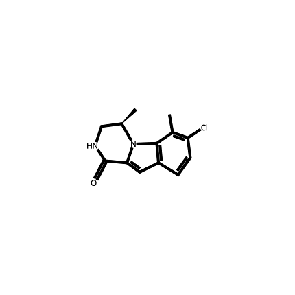 Cc1c(Cl)ccc2cc3n(c12)[C@H](C)CNC3=O